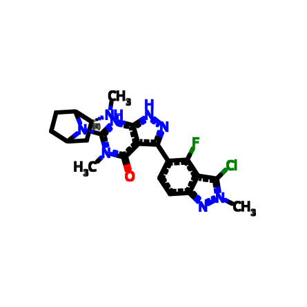 CN[C@@H]1CC2CCC1N2c1nc2[nH]nc(-c3ccc4nn(C)c(Cl)c4c3F)c2c(=O)n1C